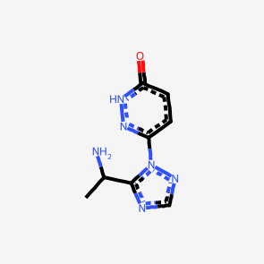 CC(N)c1ncnn1-c1ccc(=O)[nH]n1